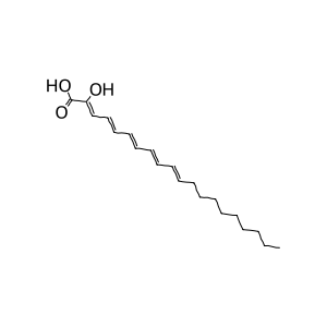 CCCCCCCCCC=CC=CC=CC=CC=C(O)C(=O)O